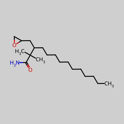 CCCCCCCCCCCC(CC1CO1)C(C)(C)C(N)=O